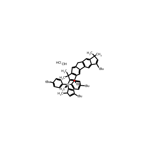 Cl.Cl.[CH2]=[Zr]([C]1=CC(C(C)(C)C)=CC1C)([C]1=C(C(C)(C)C)c2cc3c(cc2C1(C)C)Cc1cc2c(cc1-3)C(C(C)(C)C)=CC2(C)C)([c]1ccc(C(C)(C)C)cc1)[c]1ccc(C(C)(C)C)cc1